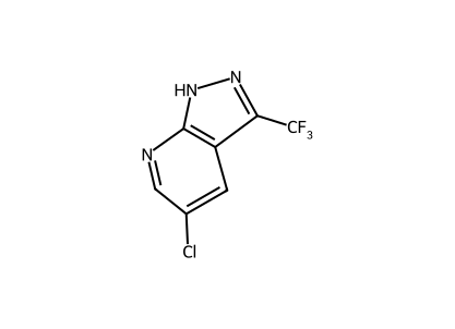 FC(F)(F)c1n[nH]c2ncc(Cl)cc12